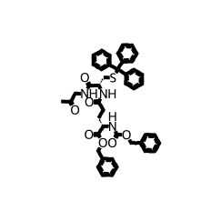 CC(=O)CNC(=O)[C@H](CSC(c1ccccc1)(c1ccccc1)c1ccccc1)NC(=O)CC[C@H](NC(=O)OCc1ccccc1)C(=O)OCc1ccccc1